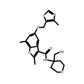 Cc1ncsc1COc1cc(C)c2oc(C)c(C(=O)NC3(CO)CCOCC3)c2c1